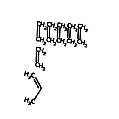 C=C.C=C.C=C.C=C.C=C.C=C.C=CC